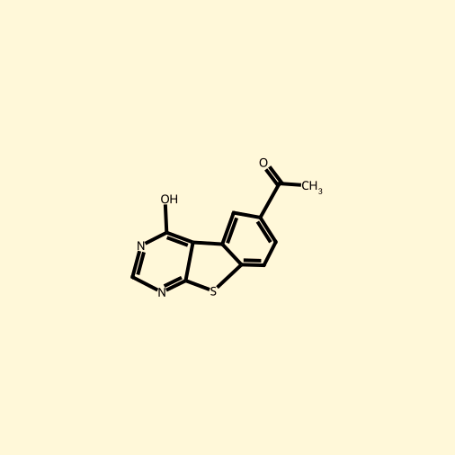 CC(=O)c1ccc2sc3ncnc(O)c3c2c1